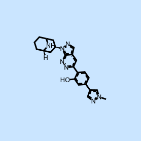 Cn1cc(-c2ccc(-c3cc4cnn([C@@H]5CC6CCC[C@@H](C5)N6)c4nn3)c(O)c2)cn1